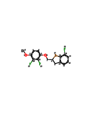 CCOc1ccc(OCC2Cc3cccc(F)c3S2)c(F)c1F